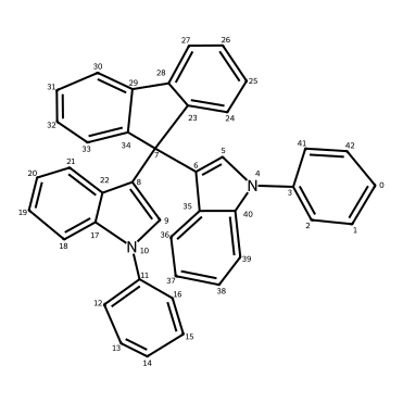 c1ccc(-n2cc(C3(c4cn(-c5ccccc5)c5ccccc45)c4ccccc4-c4ccccc43)c3ccccc32)cc1